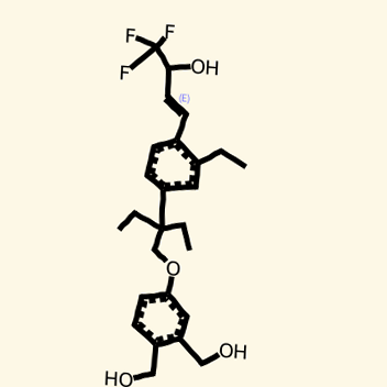 CCc1cc(C(CC)(CC)COc2ccc(CO)c(CO)c2)ccc1/C=C/C(O)C(F)(F)F